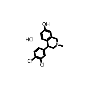 CN1Cc2cc(O)ccc2C(c2ccc(Cl)c(Cl)c2)C1.Cl